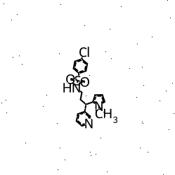 Cn1cccc1C(CCNS(=O)(=O)c1ccc(Cl)cc1)c1cccnc1